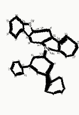 C1=C(c2ccccc2)C=C(c2ccccc2)CC1n1c2ccccc2c2cc3sc4ccccc4c3cc21